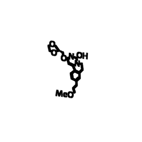 COCCCc1ccc2c(c1)CCN1C2=CC(OC[C@@H]2COCCO2)=NC1O